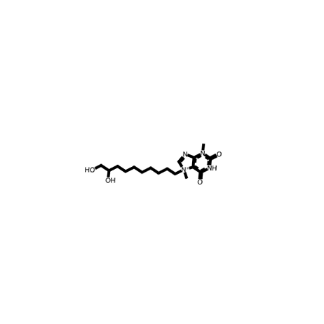 Cn1c2c(c(=O)[nH]c1=O)[N+](C)(CCCCCCCCC(O)CO)C=N2